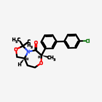 CC1(C)OC[C@@H]2CCO[C@](C)(c3cccc(-c4ccc(Cl)cc4)c3)C(=O)N21